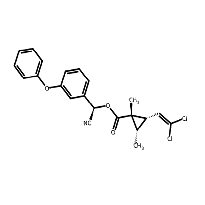 C[C@H]1[C@@H](C=C(Cl)Cl)[C@@]1(C)C(=O)O[C@@H](C#N)c1cccc(Oc2ccccc2)c1